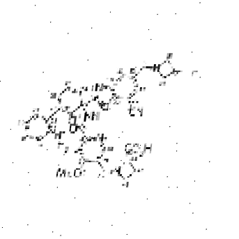 COc1cc(C(=O)NC2(c3nc4cc(CN5CC(F)C5)cc(C#N)c4o3)C=CC=C(c3ccccc3C)C2Cl)ncc1CN1CC[C@H]1C(=O)O